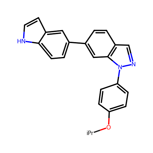 CC(C)Oc1ccc(-n2ncc3ccc(-c4ccc5[nH]ccc5c4)cc32)cc1